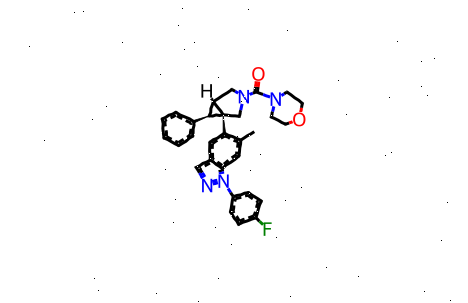 Cc1cc2c(cnn2-c2ccc(F)cc2)cc1[C@]12CN(C(=O)N3CCOCC3)C[C@H]1[C@@H]2c1ccccc1